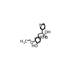 CCOc1cc(CC(c2cccnc2)P(=O)(O)O)ccc1O